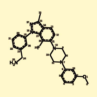 COc1cccc(N2CCN(c3ccc4c(C)nn(-c5cccc(CN)c5)c4c3F)CC2)c1